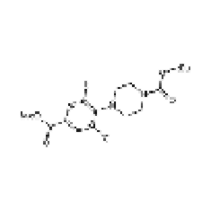 COC(=O)c1cc(F)c(N2CCN(C(=O)OC(C)(C)C)CC2)c(Cl)c1